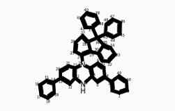 c1ccc(-c2ccc3c(c2)Nc2cc(-c4ccccc4)ccc2N3c2cccc3c2-c2ccccc2C3(c2ccccc2)c2ccccc2)cc1